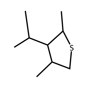 CC(C)C1C(C)CSC1C